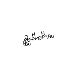 C/[PH](=C\OCCNCCOC(=O)C(C)(C)CC(C)(C)C)CC(C)(C)C